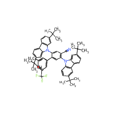 Cc1cc(-c2cc(-n3c4ccc(C(C)(C)C)cc4c4ccc(C(C)(C)C)cc43)c(C#N)cc2-n2c3cc(C(C)(C)C)ccc3c3ccc(C(C)(C)C)cc32)cc(C(F)(F)F)c1